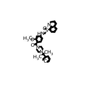 COc1cc(NC[S+]([O-])c2cccc3cccnc23)ccc1C(=O)N1CCN(C(C)(C)c2ccccc2)CC1